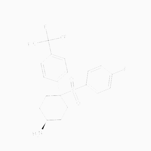 N[C@H]1CC[C@@](c2ccc(C(F)(C(F)(F)F)C(F)(F)F)cc2)(S(=O)(=O)c2ccc(F)cc2)CC1